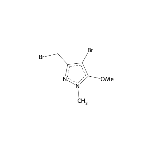 COc1c(Br)c(CBr)nn1C